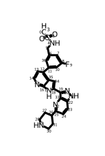 CS(=O)(=O)NCc1cc(F)cc(-c2ccnc3[nH]c(-c4n[nH]c5ccc(C6CCNCC6)nc45)cc23)c1